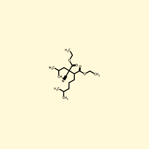 CCOC(=O)C(CCCC(C)C)C(C#N)(CC(C)C)C(=O)OCC